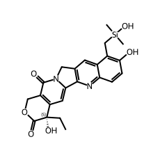 CC[C@@]1(O)C(=O)OCc2c1cc1n(c2=O)Cc2cc3c(C[Si](C)(C)O)c(O)ccc3nc2-1